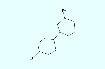 CCC1CCC(C2CCCC(CC)C2)CC1